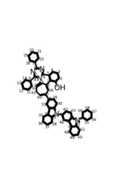 Oc1cccc(-c2nc(-c3ccccc3)nc(-c3ccccc3)n2)c1C1=CC(c2ccc3c(c2)c2ccccc2n3-c2ccc3c(c2)c2ccccc2n3-c2ccccc2)=CCC#C1